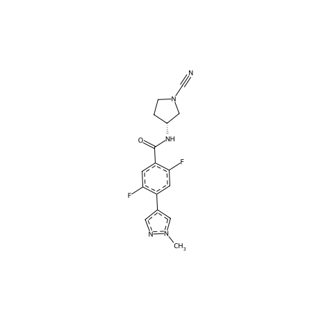 Cn1cc(-c2cc(F)c(C(=O)N[C@@H]3CCN(C#N)C3)cc2F)cn1